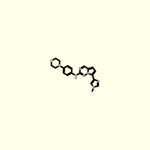 Cn1cnc(-c2ccc3cnc(Nc4ccc(N5CCOCC5)cc4)nn23)c1